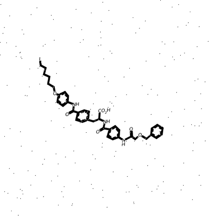 O=C(COCc1ccccc1)Nc1ccc(C(=O)NC(Cc2ccc(C(=O)Nc3ccc(OCCCCCCI)cc3)cc2)C(=O)O)cc1